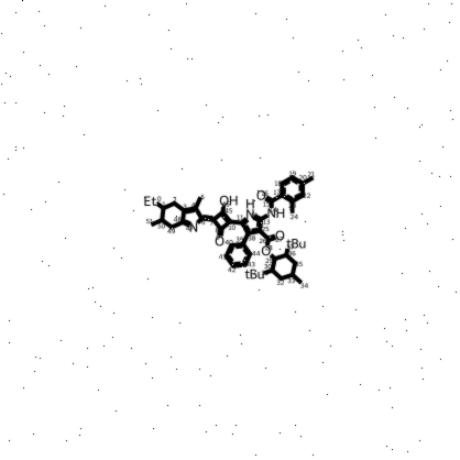 CCC1CC2=C(C)/C(=C3/C(=O)C(c4[nH]c(NC(=O)c5ccc(C)cc5C)c(C(=O)OC5C(C(C)(C)C)CC(C)CC5C(C)(C)C)c4-c4ccccc4)=C3O)N=C2CC1C